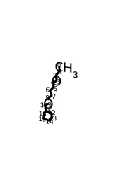 CCCOCCCCCOCc1ccccc1